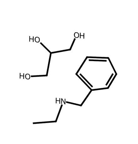 CCNCc1ccccc1.OCC(O)CO